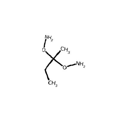 CCC(C)(ON)ON